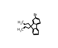 C=CCC1(CC=C)c2ccccc2-c2ccc(Br)cc21